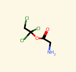 NCC(=O)OC(Cl)(Cl)CCl